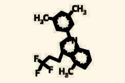 Cc1cc(C)cc(-c2cc(CCC(F)(F)F)c3c(C)cccc3n2)c1